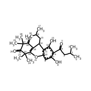 CC(C)CC(=O)c1c(O)cc2c(c1O)C(CC(C)C)C1=C(O2)C(C)(C)C(=O)C(C)(C)C1=O